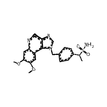 COc1cc2ncc3ncn(Cc4ccc(C(C)S(N)(=O)=O)cc4)c3c2cc1OC